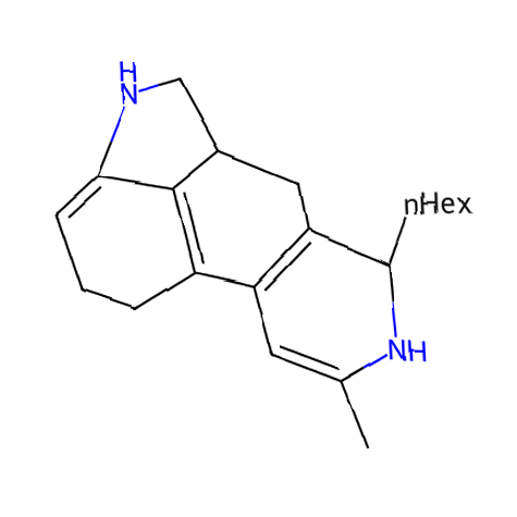 CCCCCCC1NC(C)=CC2=C1CC1CNC3=CCCC2=C31